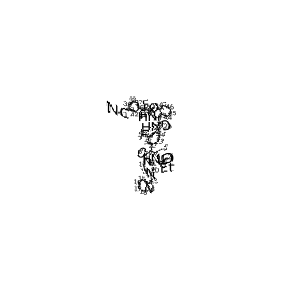 CCC(=O)N[C@H](C)[C@@H](C(=O)N1CCN(Cc2ccccn2)CC1)c1ccc(NC(=O)[C@@H](NC(=O)C(F)(F)c2cccc(C#N)c2)C2CCCCC2)c(F)c1